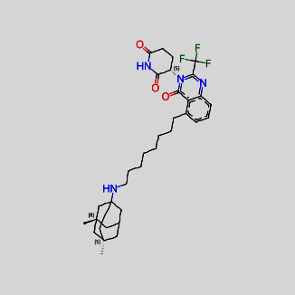 C[C@]12CC3CC(NCCCCCCCCc4cccc5nc(C(F)(F)F)n([C@H]6CCC(=O)NC6=O)c(=O)c45)(C1)C[C@@](C)(C3)C2